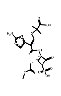 COC(=O)C[C@@H]1[C@@H](NC(=O)/C(=N/OC(C)(C)C(=O)O)c2csc(N)n2)C(=O)N1S(=O)(=O)O